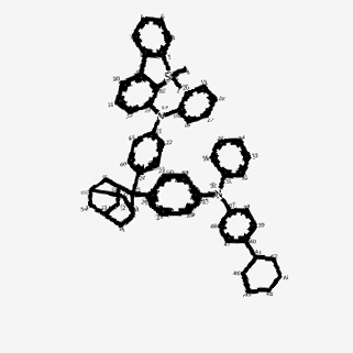 C[Si]1(C)c2ccccc2-c2cccc(N(c3ccccc3)c3ccc(C4(c5ccc(N(c6ccccc6)c6ccc(C7CCCCC7)cc6)cc5)C5CC6CC(C5)CC4C6)cc3)c21